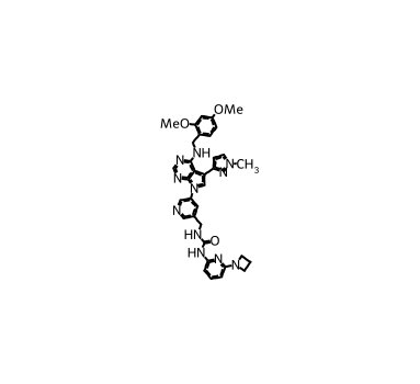 COc1ccc(CNc2ncnc3c2c(-c2ccn(C)n2)cn3-c2cncc(CNC(=O)Nc3cccc(N4CCC4)n3)c2)c(OC)c1